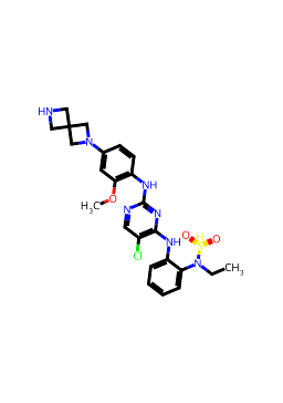 CCN(c1ccccc1Nc1nc(Nc2ccc(N3CC4(CNC4)C3)cc2OC)ncc1Cl)[SH](=O)=O